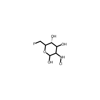 OC1OC(CF)[C@H](O)C(O)C1NCl